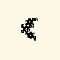 CCN(C(=O)OCc1ccc(OC)cc1)[C@@H](Cc1ccc(O)cc1)C(=O)O